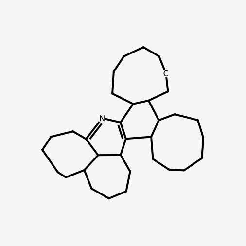 C1CCCC2C3=C(C4CCCCCCCC4C2CCC1)C1CCCCC2CCCCCC(=N3)C21